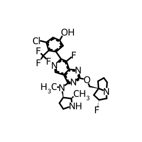 C[C@H]1NCC[C@H]1N(C)c1nc(OC[C@@]23CCCN2C[C@H](F)C3)nc2c(F)c(-c3cc(O)cc(Cl)c3C(F)(F)F)ncc12